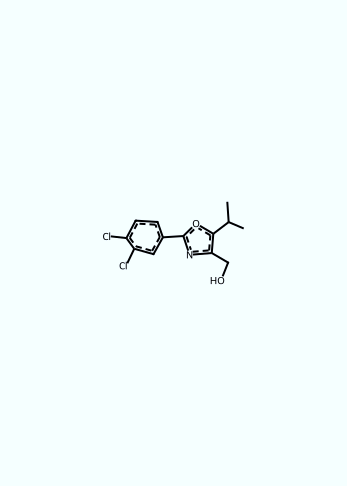 CC(C)c1oc(-c2ccc(Cl)c(Cl)c2)nc1CO